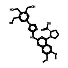 COc1cc2nc(Nc3cn(-c4cc(CO)c(CO)c(CO)c4)cn3)nc(N3CCC[C@H]3C(=O)O)c2cc1OC